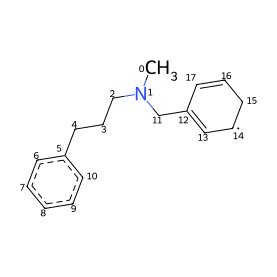 CN(CCCc1ccccc1)CC1=C[CH]CC=C1